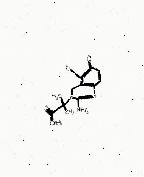 CC(C)(C(=O)O)N1Cc2c(ccc(Cl)c2Cl)N=C1N